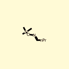 CCC/C=N/O[Si](C)(C)C